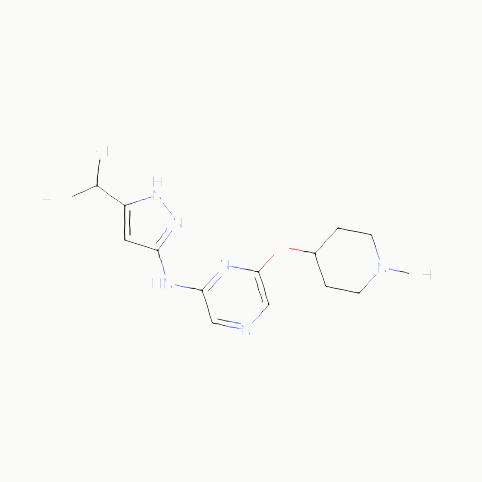 CC(c1cc(Nc2cncc(OC3CCN(C)CC3)n2)n[nH]1)C(F)(F)F